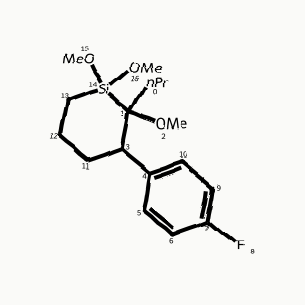 CCCC1(OC)C(c2ccc(F)cc2)CCC[Si]1(OC)OC